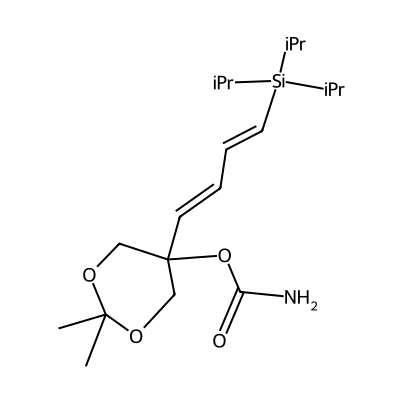 CC(C)[Si](C=CC=CC1(OC(N)=O)COC(C)(C)OC1)(C(C)C)C(C)C